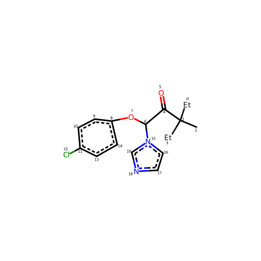 CCC(C)(CC)C(=O)C(Oc1ccc(Cl)cc1)n1ccnc1